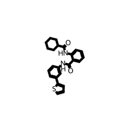 O=C(Nc1cccc(-c2cccs2)c1)c1ccccc1NC(=O)C1CCCCC1